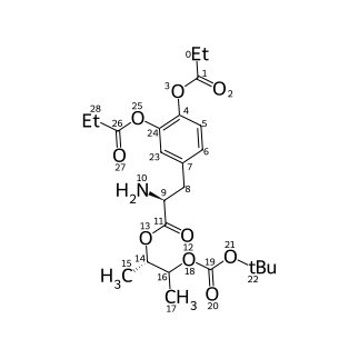 CCC(=O)Oc1ccc(C[C@H](N)C(=O)O[C@@H](C)C(C)OC(=O)OC(C)(C)C)cc1OC(=O)CC